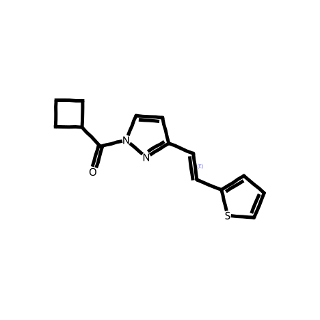 O=C(C1CCC1)n1ccc(/C=C/c2cccs2)n1